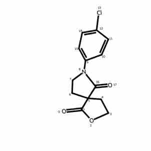 O=C1OCCC12CCN(c1ccc(Cl)cc1)C2=O